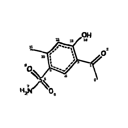 CC(=O)c1cc(S(N)(=O)=O)c(C)cc1O